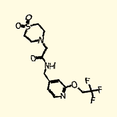 O=C(CN1CCS(=O)(=O)CC1)NCc1ccnc(OCC(F)(F)F)c1